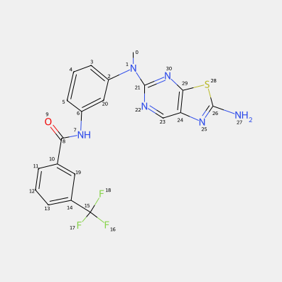 CN(c1cccc(NC(=O)c2cccc(C(F)(F)F)c2)c1)c1ncc2nc(N)sc2n1